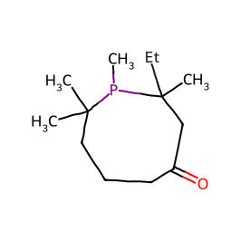 CCC1(C)CC(=O)CCCC(C)(C)P1C